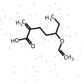 C=COC(CC)CCC(=C)C(=O)O